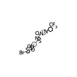 O=C(c1csc(C2CCN(S(=O)(=O)c3ccc(Br)s3)CC2)n1)N1CCN(c2cccc(C(F)(F)F)c2)CC1